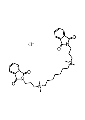 C[N+](C)(CCCCCCC[Si](C)(C)CCCN1C(=O)c2ccccc2C1=O)CCCN1C(=O)c2ccccc2C1=O.[Cl-]